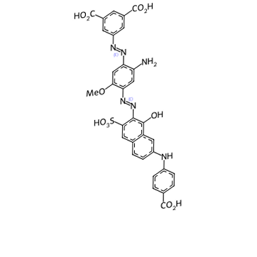 COc1cc(/N=N/c2cc(C(=O)O)cc(C(=O)O)c2)c(N)cc1/N=N/c1c(S(=O)(=O)O)cc2ccc(Nc3ccc(C(=O)O)cc3)cc2c1O